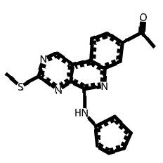 CSc1ncc2c(n1)c(Nc1ccccc1)nc1cc(C(C)=O)ccc12